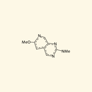 CNc1ncc2cc(OC)ncc2n1